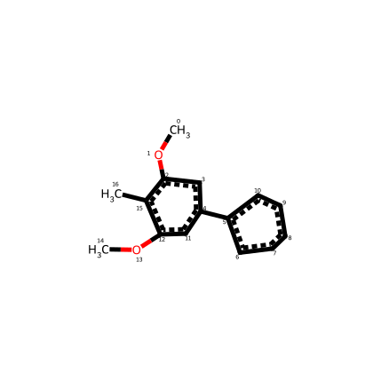 COc1cc(-c2ccccc2)cc(OC)c1C